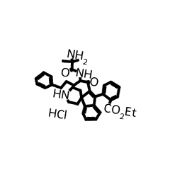 CCOC(=O)c1ccccc1C1=C(C(=O)C(CCCc2ccccc2)NC(=O)C(C)(C)N)C2(CCNCC2)c2ccccc21.Cl